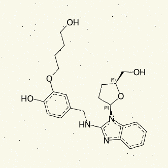 OCCCCOc1cc(CNc2nc3ccccc3n2[C@H]2CC[C@@H](CO)O2)ccc1O